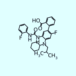 CC(C)CN(c1cc(F)c(-c2ccccc2C(=O)O)cc1NC(=O)Nc1ccccc1F)C1CCCCC1